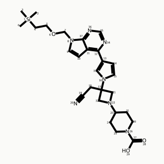 C[Si](C)(C)CCOCn1ccc2c(-c3ccn(C4(CC#N)CN(C5CCN(C(=O)O)CC5)C4)c3)ncnc21